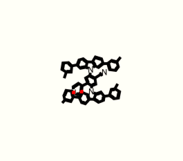 Cc1cccc(-c2ccc3c4ccc(-c5cccc(C)c5)cc4n(-c4cc(-c5ccncc5)c(-n5c6cc(-c7cccc(C)c7)ccc6c6ccc(-c7cccc(C)c7)cc65)cc4C#N)c3c2)c1